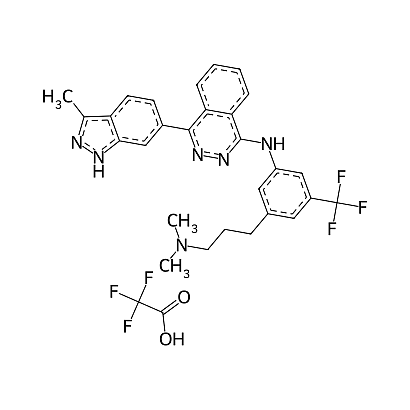 Cc1n[nH]c2cc(-c3nnc(Nc4cc(CCCN(C)C)cc(C(F)(F)F)c4)c4ccccc34)ccc12.O=C(O)C(F)(F)F